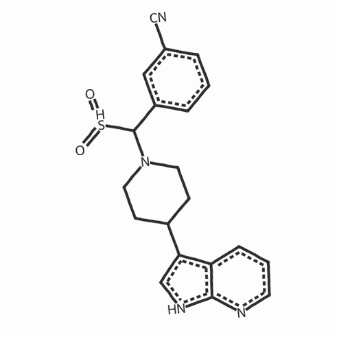 N#Cc1cccc(C(N2CCC(c3c[nH]c4ncccc34)CC2)[SH](=O)=O)c1